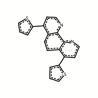 c1csc(-c2ccnc3c2ccc2c(-c4cccs4)ccnc23)c1